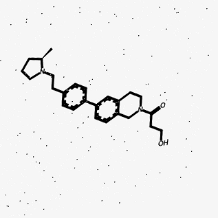 C[C@@H]1CCCN1CCc1ccc(-c2ccc3c(c2)CCN(C(=O)CCO)C3)cc1